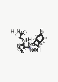 NC(=O)CNc1nonc1/C(=N/O)NC1Cc2ccc(F)cc21